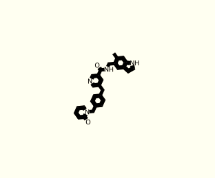 Cc1cc2[nH]ccc2cc1CNC(=O)c1cncc(Cc2ccc(Cn3ccccc3=O)cc2)c1